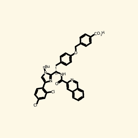 CCCCn1cc(-c2ccc(Cl)cc2Cl)nc1[C@H](Cc1ccc(OCc2ccc(C(=O)O)cc2)cc1)NC(=O)c1cc2ccccc2cn1